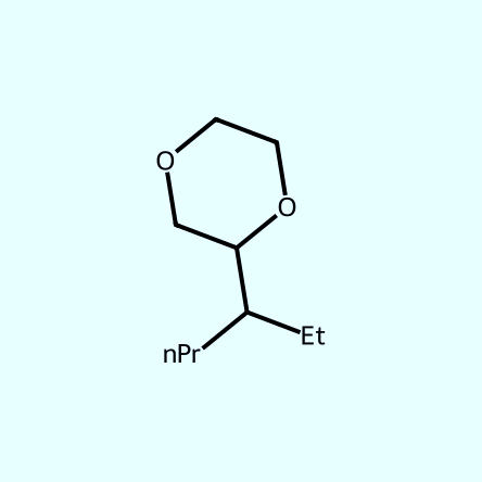 C[CH]CC(CC)C1COCCO1